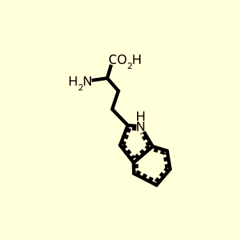 NC(CCc1cc2ccccc2[nH]1)C(=O)O